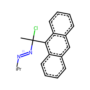 CC(C)/N=N/C(C)(Cl)c1c2ccccc2cc2ccccc12